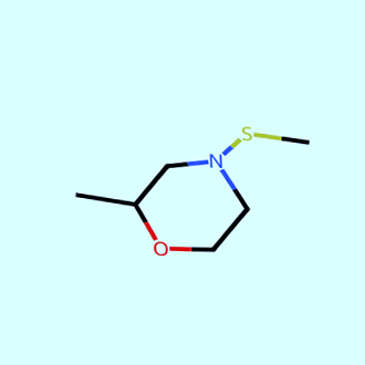 CSN1CCOC(C)C1